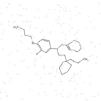 CCCCOc1ccc(C(CCC2(CCC)CCCCC2)CC2=CCCCC2)cc1F